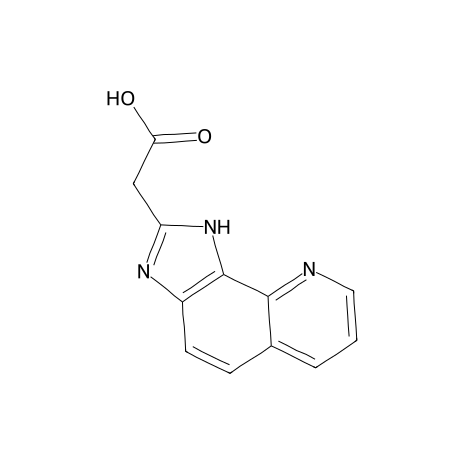 O=C(O)Cc1nc2ccc3cccnc3c2[nH]1